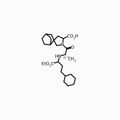 CCOC(=O)C(CCC1CCCCC1)N[C@@H](C)C(=O)N1CC2(CC3CCC2CC3)CC1C(=O)O